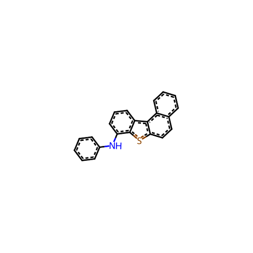 c1ccc(Nc2cccc3c2sc2ccc4ccccc4c23)cc1